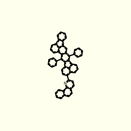 c1ccc(-c2c3cc4c5ccccc5c5cccc(c3c(-c3ccccc3)c3c6ccc(-c7ccc8ccc9ccccc9c8n7)c7cccc(c23)c76)c54)cc1